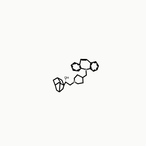 O[C@H](CN1CCC(CN2c3ccccc3C=Cc3ccccc32)CC1)C12CC3CC(CC(C3)C1)C2